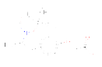 CC(Cc1ccc(OCC(=O)O)cc1)N(C=O)OC(C)(C)C